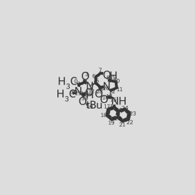 C[C@@H](C(=O)N[C@H]1CCO[C@H]2CC[C@H](C(=O)Nc3cccc4ccccc34)N2C1=O)N(C)C(=O)OC(C)(C)C